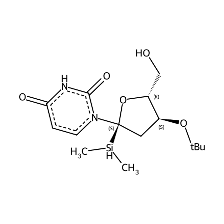 C[SiH](C)[C@]1(n2ccc(=O)[nH]c2=O)C[C@H](OC(C)(C)C)[C@@H](CO)O1